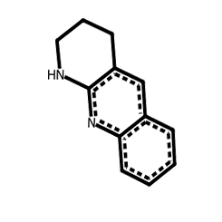 c1ccc2nc3c(cc2c1)CCCN3